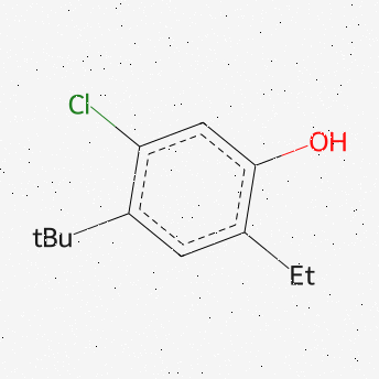 CCc1cc(C(C)(C)C)c(Cl)cc1O